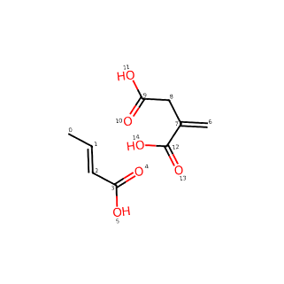 C/C=C/C(=O)O.C=C(CC(=O)O)C(=O)O